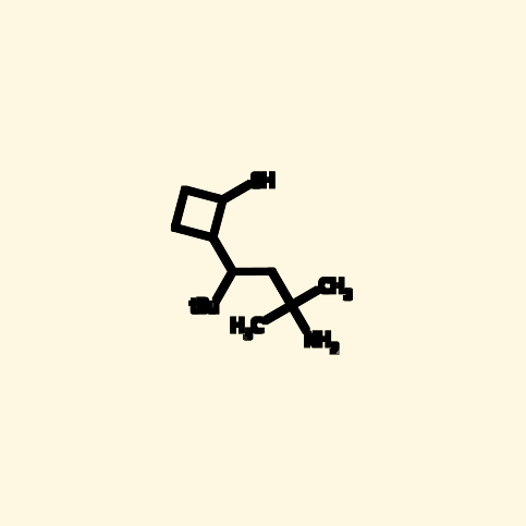 CC(C)(N)CC(C1CCC1S)C(C)(C)C